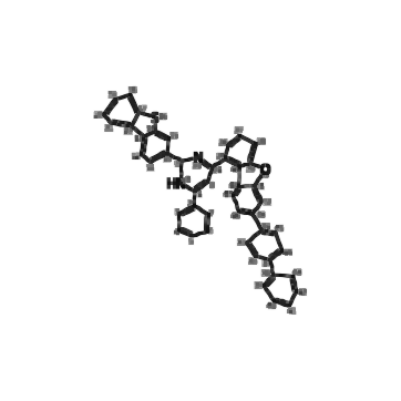 C1=C(c2ccccc2)NC(c2ccc3c(c2)sc2ccccc23)N=C1c1cccc2oc3cc(-c4ccc(-c5ccccc5)cc4)ccc3c12